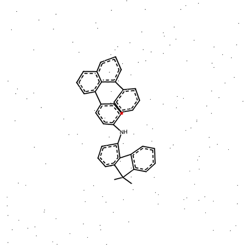 CC1(C)c2ccccc2-c2c(Nc3ccc(-c4cccc5cccc(-c6ccccc6)c45)cc3)cccc21